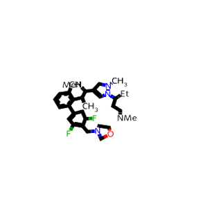 CCC(CCNC)N1C=C(C(NC)C(C)c2c(C)cccc2C2=CC(F)=C(CN3CCOC3)C(F)C2)CN1C